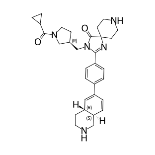 O=C(C1CC1)N1CC[C@@H](CN2C(=O)C3(CCNCC3)N=C2c2ccc(C3=C[C@H]4CCNC[C@@H]4C=C3)cc2)C1